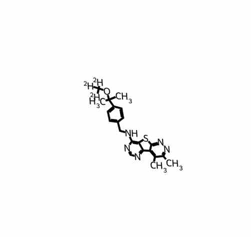 [2H]C([2H])([2H])OC(C)(C)c1ccc(CNc2ncnc3c2sc2nnc(C)c(C)c23)cc1